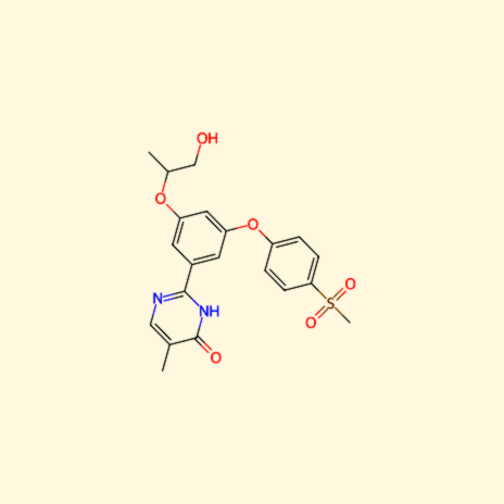 Cc1cnc(-c2cc(Oc3ccc(S(C)(=O)=O)cc3)cc(OC(C)CO)c2)[nH]c1=O